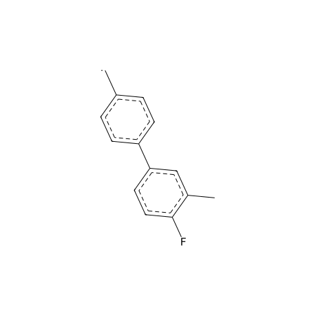 [CH2]c1ccc(-c2ccc(F)c(C)c2)cc1